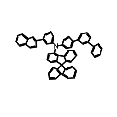 c1ccc(-c2cccc(-c3ccc(N(c4cccc(-c5ccc6ccccc6c5)c4)c4cccc5c4-c4ccccc4C5(c4ccccc4)c4ccccc4)cc3)c2)cc1